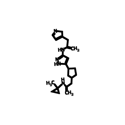 C=C(CC1=CC=NC1)Nc1cc(C2CCC(CC(=C)NC3(C)CC3)C2)[nH]n1